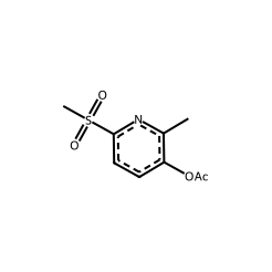 CC(=O)Oc1ccc(S(C)(=O)=O)nc1C